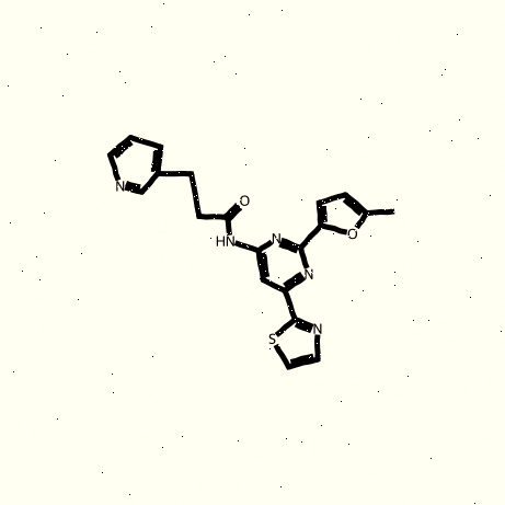 Cc1ccc(-c2nc(NC(=O)CCc3cccnc3)cc(-c3nccs3)n2)o1